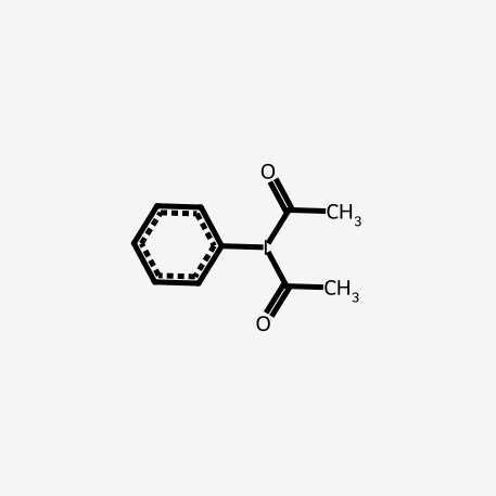 CC(=O)I(C(C)=O)c1ccccc1